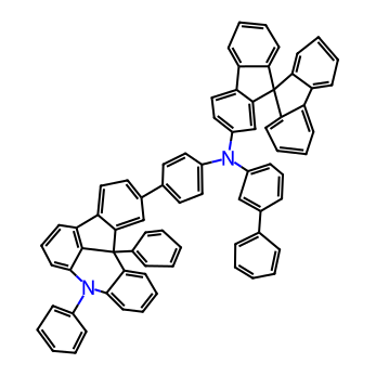 c1ccc(-c2cccc(N(c3ccc(-c4ccc5c(c4)C4(c6ccccc6)c6ccccc6N(c6ccccc6)c6cccc-5c64)cc3)c3ccc4c(c3)C3(c5ccccc5-c5ccccc53)c3ccccc3-4)c2)cc1